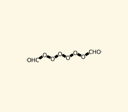 O=[C]OOOOOO[C]=O